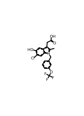 Cc1c(CC(=O)O)c2cc(O)c(Cl)cc2n1Cc1cccc(OC(F)(F)F)c1